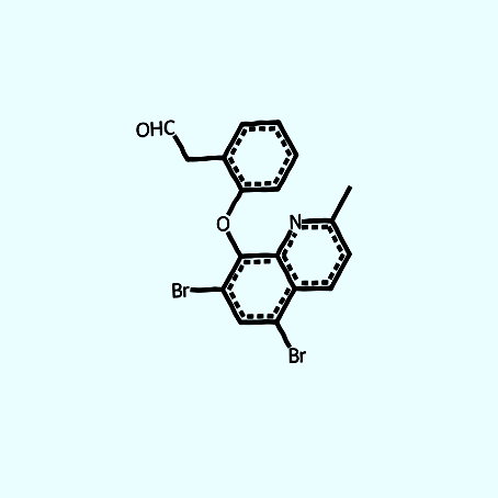 Cc1ccc2c(Br)cc(Br)c(Oc3ccccc3CC=O)c2n1